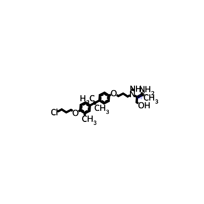 C/C(N)=C(\CO)N(N)CCCOc1ccc(C(C)(C)c2ccc(OCCCCl)c(C)c2)cc1